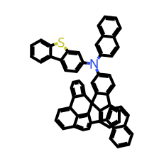 c1ccc2c(c1)-c1ccc(N(c3ccc4ccccc4c3)c3ccc4c(c3)sc3ccccc34)cc1C21c2ccccc2-c2cccc3ccc(-c4cccc5ccccc45)c1c23